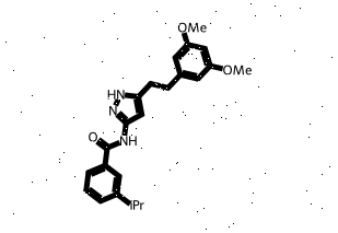 COc1cc(CCc2cc(NC(=O)c3cccc(C(C)C)c3)n[nH]2)cc(OC)c1